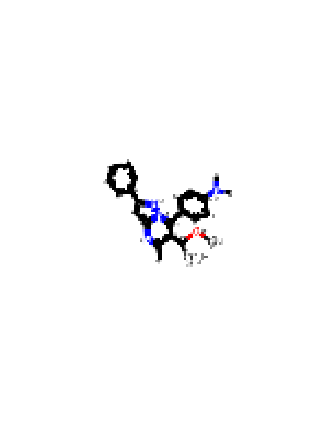 Cc1nc2cc(-c3ccccc3)nn2c(-c2ccc(N(C)C)cc2)c1C(OC(C)(C)C)C(=O)O